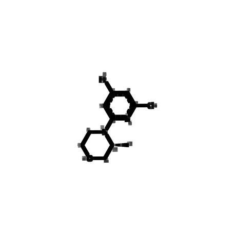 CCc1cc(Cl)nc(N2CCOC[C@H]2C)c1